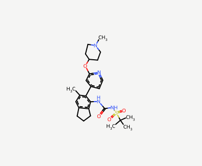 Cc1cc2c(c(NC(=O)NS(=O)(=O)C(C)(C)C)c1-c1ccnc(OC3CCN(C)CC3)c1)CCC2